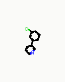 Clc1cccc(-c2cccnc2)c1